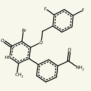 Cc1[nH]c(=O)c(Br)c(OCc2ccc(F)cc2F)c1-c1cccc(C(N)=O)c1